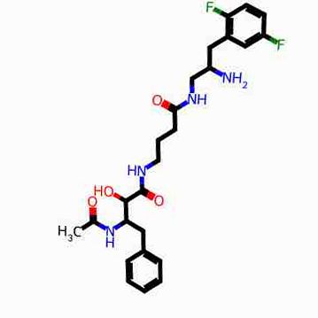 CC(=O)NC(Cc1ccccc1)C(O)C(=O)NCCCC(=O)NCC(N)Cc1cc(F)ccc1F